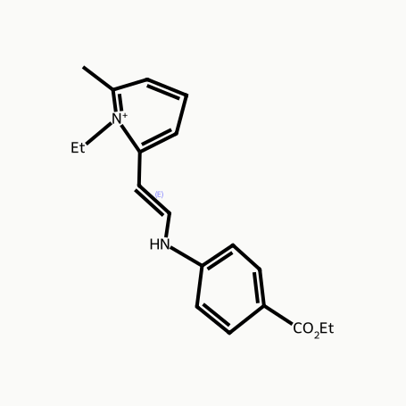 CCOC(=O)c1ccc(N/C=C/c2cccc(C)[n+]2CC)cc1